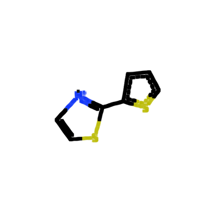 C1=CSC(c2cccs2)=[N+]1